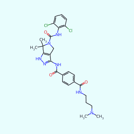 CN(C)CCCNC(=O)c1ccc(C(=O)Nc2n[nH]c3c2CN(C(=O)Nc2c(Cl)cccc2Cl)C3(C)C)cc1